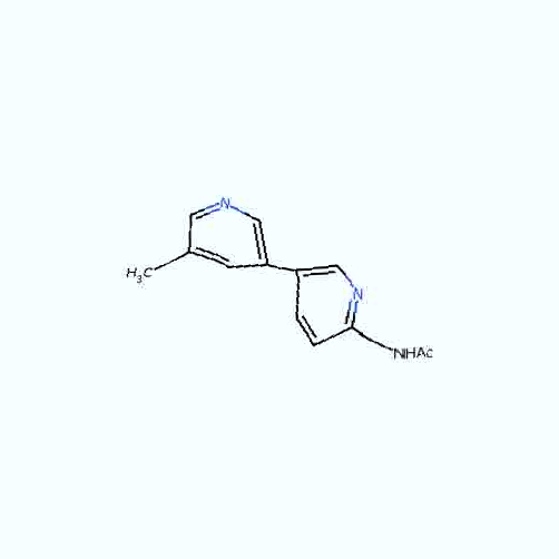 CC(=O)Nc1ccc(-c2cncc(C)c2)cn1